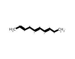 [CH2]CC=CC=CCC=CC